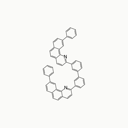 c1ccc(-c2ccc3ccc4ccc(-c5cccc(-c6cccc(-c7ccc8ccc9ccc(-c%10ccccc%10)cc9c8n7)c6)c5)nc4c3c2)cc1